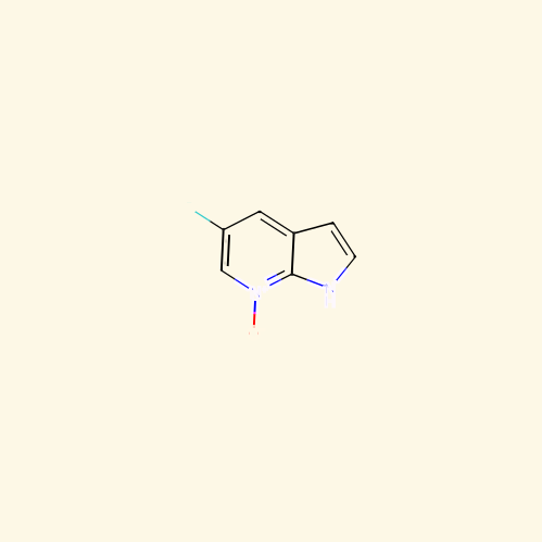 [O-][n+]1cc(F)cc2cc[nH]c21